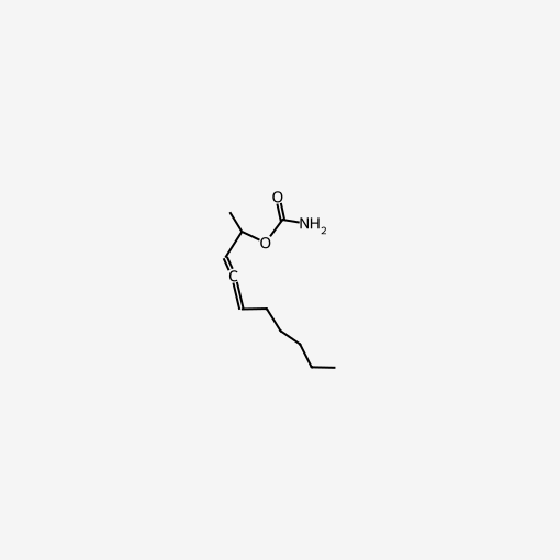 CCCCCC=C=CC(C)OC(N)=O